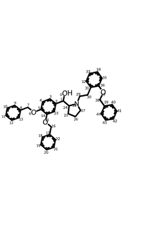 OC(c1ccc(OCc2ccccc2)c(OCc2ccccc2)c1)C1CCCN1CCc1ccccc1OCc1ccccc1